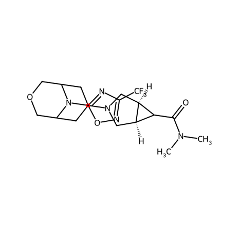 CN(C)C(=O)C1[C@H]2CN(C3CC4COCC(C3)N4c3nc(C(F)(F)F)no3)C[C@@H]12